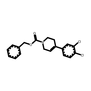 O=C(OCc1ccccc1)N1CC=C(c2ccc(Cl)c(Cl)c2)CC1